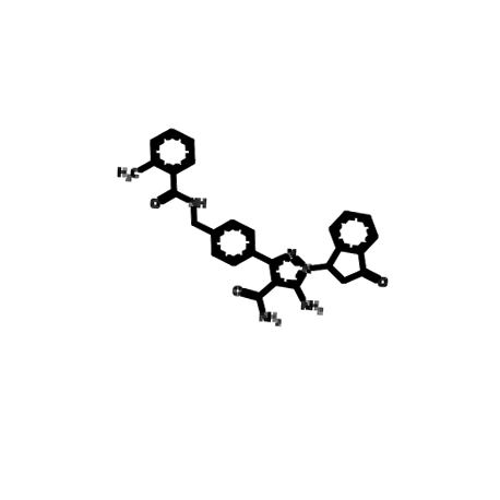 Cc1ccccc1C(=O)NCc1ccc(-c2nn(C3CC(=O)c4ccccc43)c(N)c2C(N)=O)cc1